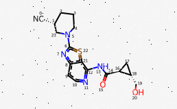 N#C[C@@H]1CCCN(c2nc3ccnc(NC(=O)[C@H]4C[C@@H]4CO)c3s2)C1